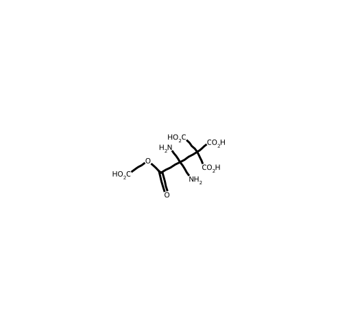 NC(N)(C(=O)OC(=O)O)C(C(=O)O)(C(=O)O)C(=O)O